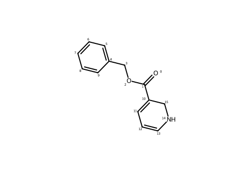 O=C(OCc1ccccc1)C1=CC=CNC1